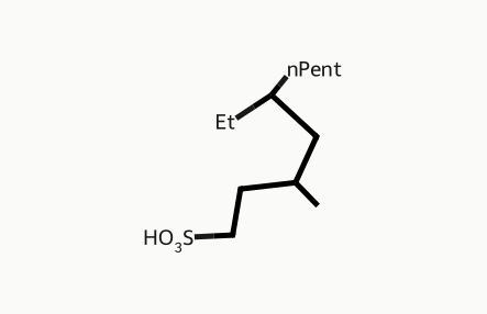 CCCCCC(CC)CC(C)CCS(=O)(=O)O